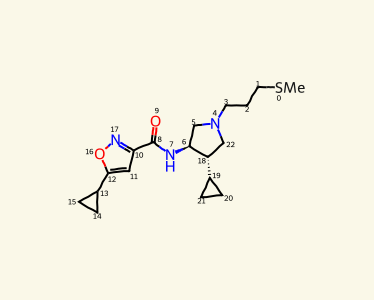 CSCCCN1C[C@H](NC(=O)c2cc(C3CC3)on2)[C@@H](C2CC2)C1